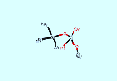 CCC[Si](CCC)(CCC)[O][Zr]([OH])([OH])[O]C(C)(C)C